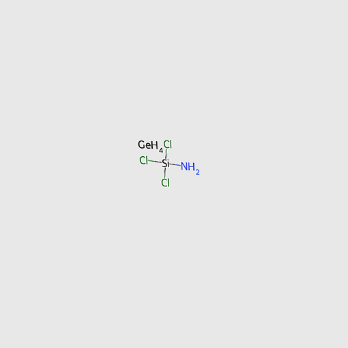 N[Si](Cl)(Cl)Cl.[GeH4]